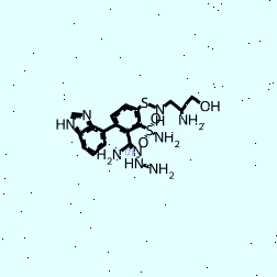 NN/N=C(\N)c1c(-c2cccc3[nH]cnc23)ccc(SNCC(N)CO)c1S(N)(=O)=O